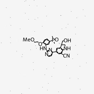 COCCOc1ccc(P(C)(C)=O)cc1Nc1nccc(-c2cc(C#N)c3c(c2)[C@@](C)(CO)CN3)n1